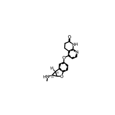 CN[C@@H]1C2Oc3ccc(Oc4ccnc5c4CCC(=O)N5)cc3[C@H]21